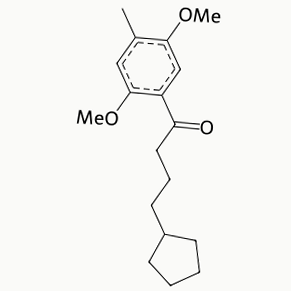 COc1cc(C(=O)CCCC2CCCC2)c(OC)cc1C